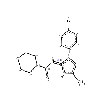 Cc1cn(-c2ccc(Cl)cc2)/c(=N/C(=O)N2CCCCC2)s1